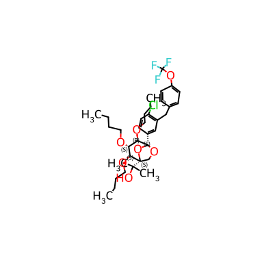 CCCCO[C@@H]1[C@@H](OCCCC)[C@@]2(c3ccc(Cl)c(Cc4ccc(OC(F)(F)F)cc4)c3)OC[C@](C(C)(C)O)(O2)[C@H]1OCCCC